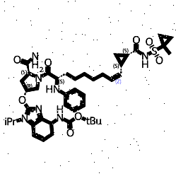 CC(C)n1c(O[C@@H]2C[C@@H](C(N)=O)N(C(=O)[C@H](CCCCC/C=C\[C@@H]3C[C@@H]3C(=O)NS(=O)(=O)C3(C)CC3)Nc3ccccc3)C2)nc2c1C=CCC2NC(=O)OC(C)(C)C